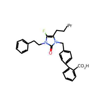 CC(C)CCc1c(F)n(CCc2ccccc2)c(=O)n1Cc1ccc(-c2ccccc2C(=O)O)cc1